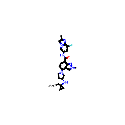 COCC1(N[C@H]2CCN(c3ccc(C(=O)Nc4cc(F)c5nc(C)cn5c4)c4nn(C)cc34)C2)CC1